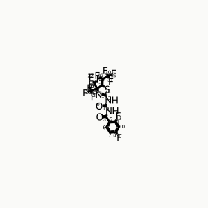 O=C(NC(=O)c1ccc(F)cc1F)NC1=NC(C(F)(F)F)(C(F)(F)F)C(=C(F)C(F)(F)F)S1